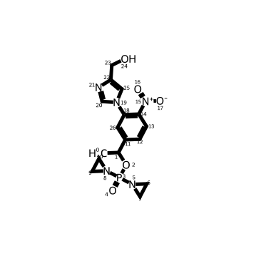 CC(OP(=O)(N1CC1)N1CC1)c1ccc([N+](=O)[O-])c(-n2cnc(CO)c2)c1